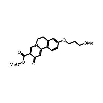 COCCCOc1ccc2c(c1)CCn1cc(C(=O)OOC)c(=O)cc1-2